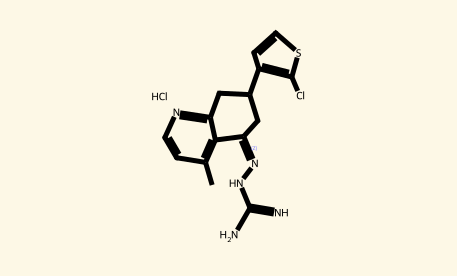 Cc1ccnc2c1/C(=N\NC(=N)N)CC(c1ccsc1Cl)C2.Cl